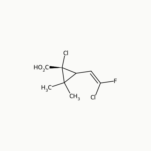 CC1(C)C(/C=C(/F)Cl)[C@]1(Cl)C(=O)O